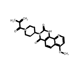 C=C(C)C(=O)N1CCC(n2c(=O)[nH]c3c(ccc4c(OC)ccnc43)c2=O)CC1